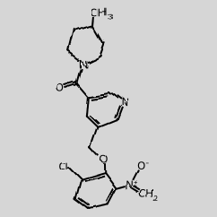 C=[N+]([O-])c1cccc(Cl)c1OCc1cncc(C(=O)N2CCC(C)CC2)c1